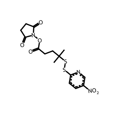 CC(C)(CCC(=O)ON1C(=O)CCC1=O)SSc1ccc([N+](=O)[O-])cn1